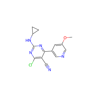 COc1cncc(-c2nc(NC3CC3)nc(Cl)c2C#N)c1